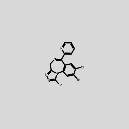 Clc1cc2c(cc1Br)-n1c(Br)nnc1CN=C2c1ccccn1